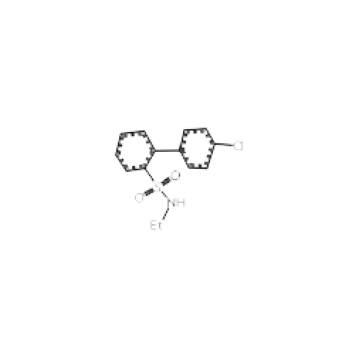 [CH2]CNS(=O)(=O)c1ccccc1-c1ccc(Cl)cc1